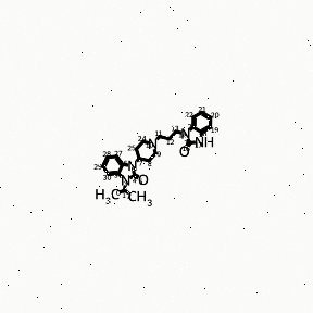 CC(C)n1c(=O)n(C2CCN(CCCn3c(=O)[nH]c4ccccc43)CC2)c2ccccc21